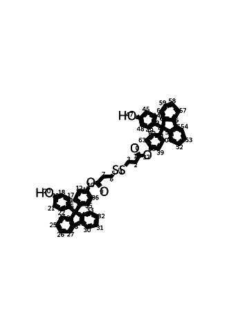 O=C(CCSSCCC(=O)Oc1ccc(C2(c3ccc(O)cc3)c3ccccc3-c3ccccc32)cc1)Oc1ccc(C2(c3ccc(O)cc3)c3ccccc3-c3ccccc32)cc1